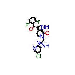 O=C(c1c(F)cccc1F)c1c[nH]c2c(=O)n(Cc3nc4ncc(Cl)cc4[nH]3)ccc12